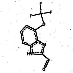 O=Cc1nc2c(OC(F)(F)F)cccc2[nH]1